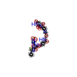 CS(=O)(=O)n1ccc(C(=O)N[C@@H](COCc2ccc(C(=O)NCCOC3CN(c4ccc5c(c4)C(=O)N(C4CCC(=O)NC4=O)C5=O)C3)cc2)C(=O)Nc2nc(-c3ccccc3)cs2)c1